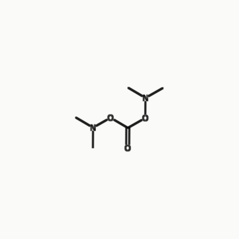 CN(C)OC(=O)ON(C)C